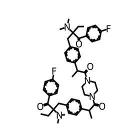 CCC(Cc1ccc(C(C)C(=O)N2CCN(C(=O)C(C)c3ccc(CC(CC)(C(=O)c4ccc(F)cc4)N(C)C)cc3)CC2)cc1)(C(=O)c1ccc(F)cc1)N(C)C